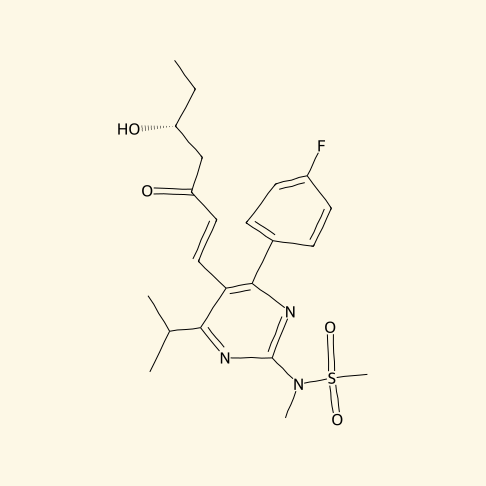 CC[C@@H](O)CC(=O)/C=C/c1c(-c2ccc(F)cc2)nc(N(C)S(C)(=O)=O)nc1C(C)C